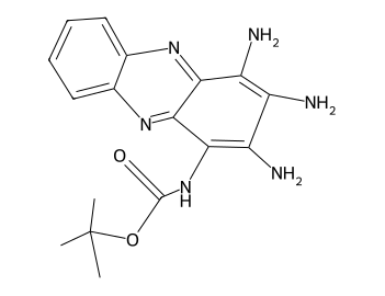 CC(C)(C)OC(=O)Nc1c(N)c(N)c(N)c2nc3ccccc3nc12